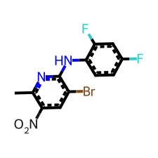 Cc1nc(Nc2ccc(F)cc2F)c(Br)cc1[N+](=O)[O-]